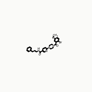 COc1ccc(Br)c(C(=O)N2CCN(c3ccc(C(=O)NCCCc4ccccc4)cn3)CC2)c1